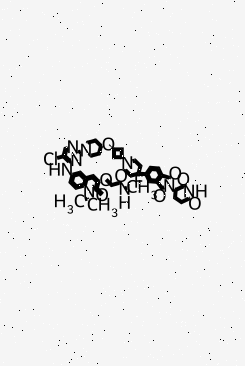 CNC(=O)COc1cc2cc(Nc3nc(N4CCC(O[C@H]5C[C@H](N6CCC(F)(c7ccc8c(c7)C(=O)N(C7CCC(=O)NC7=O)C8=O)CC6)C5)CC4)ncc3Cl)ccc2n(C(C)C)c1=O